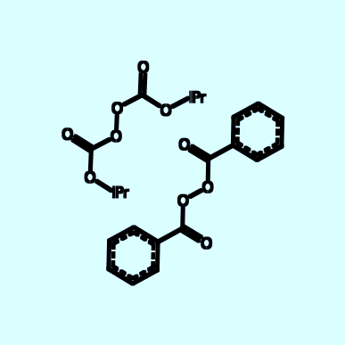 CC(C)OC(=O)OOC(=O)OC(C)C.O=C(OOC(=O)c1ccccc1)c1ccccc1